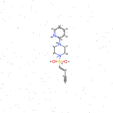 C#C/C=C/S(=O)(=O)N1CCN(c2ccccn2)CC1